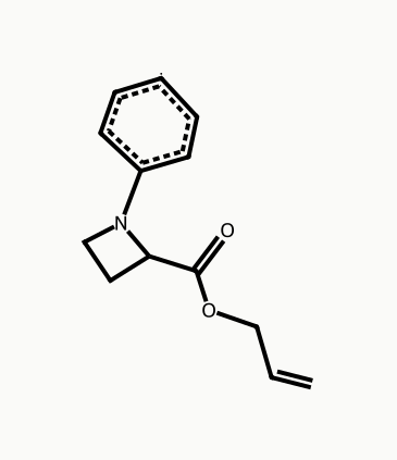 C=CCOC(=O)C1CCN1c1cc[c]cc1